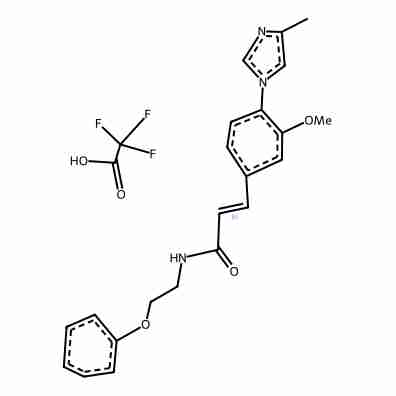 COc1cc(/C=C/C(=O)NCCOc2ccccc2)ccc1-n1cnc(C)c1.O=C(O)C(F)(F)F